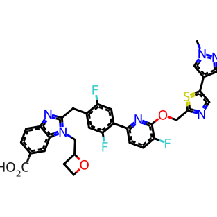 Cn1cc(-c2cnc(COc3nc(-c4cc(F)c(Cc5nc6ccc(C(=O)O)cc6n5CC5CCO5)cc4F)ccc3F)s2)cn1